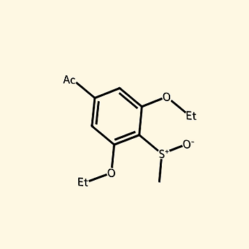 CCOc1cc(C(C)=O)cc(OCC)c1[S+](C)[O-]